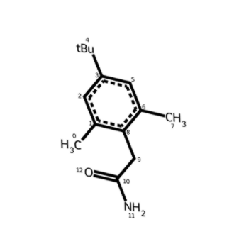 Cc1cc(C(C)(C)C)cc(C)c1CC(N)=O